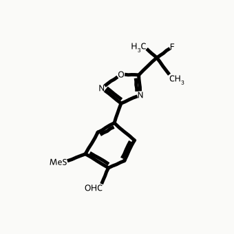 CSc1cc(-c2noc(C(C)(C)F)n2)ccc1C=O